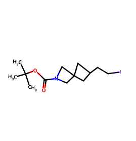 CC(C)(C)OC(=O)N1CC2(CC(CCI)C2)C1